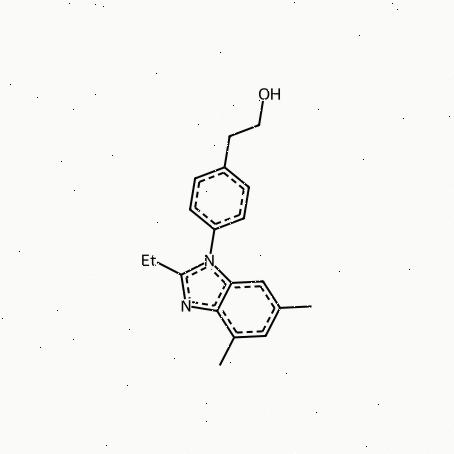 CCc1nc2c(C)cc(C)cc2n1-c1ccc(CCO)cc1